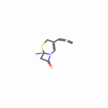 C=C=CC1=CN2C(=O)C[C@@H]2SC1